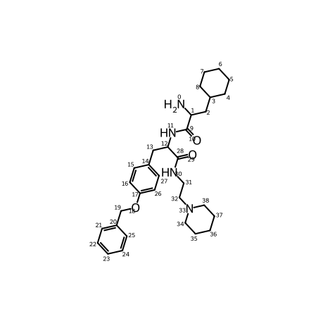 NC(CC1CCCCC1)C(=O)NC(Cc1ccc(OCc2ccccc2)cc1)C(=O)NCCN1CCCCC1